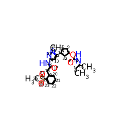 CC[C@H](C)NC(=O)O[C@@H]1CC[C@H](c2cc(NC(=O)Cc3ccccc3S(C)(=O)=O)nn2C)C1